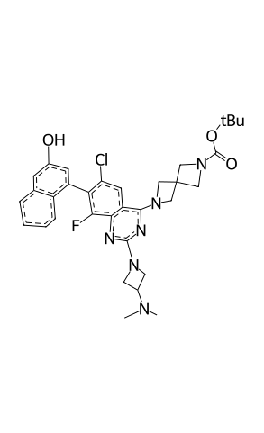 CN(C)C1CN(c2nc(N3CC4(CN(C(=O)OC(C)(C)C)C4)C3)c3cc(Cl)c(-c4cc(O)cc5ccccc45)c(F)c3n2)C1